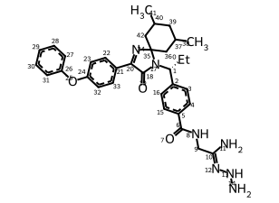 CC[C@H](c1ccc(C(=O)NC/C(N)=N/NN)cc1)N1C(=O)C(c2ccc(Oc3ccccc3)cc2)=NC12CC(C)CC(C)C2